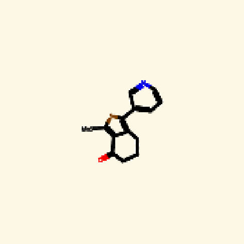 CSc1sc(-c2cccnc2)c2c1C(=O)CCC2